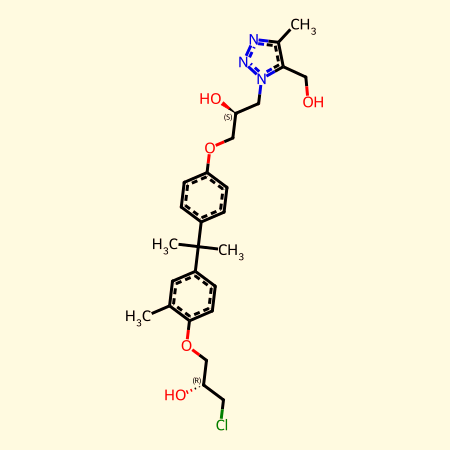 Cc1cc(C(C)(C)c2ccc(OC[C@@H](O)Cn3nnc(C)c3CO)cc2)ccc1OC[C@@H](O)CCl